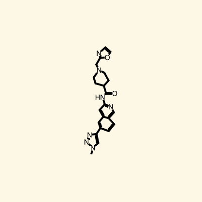 Cn1cc(-c2ccc3cnc(NC(=O)C4CCN(Cc5ncco5)CC4)cc3c2)nn1